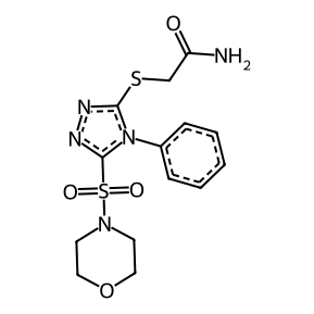 NC(=O)CSc1nnc(S(=O)(=O)N2CCOCC2)n1-c1ccccc1